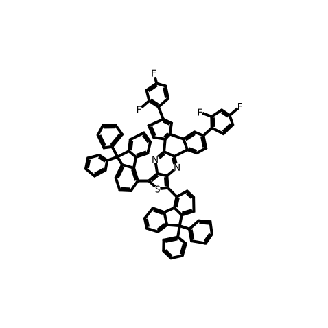 Fc1ccc(-c2ccc3c(c2)c2cc(-c4ccc(F)cc4F)ccc2c2nc4c(-c5cccc6c5-c5ccccc5C6(c5ccccc5)c5ccccc5)sc(-c5cccc6c5-c5ccccc5C6(c5ccccc5)c5ccccc5)c4nc32)c(F)c1